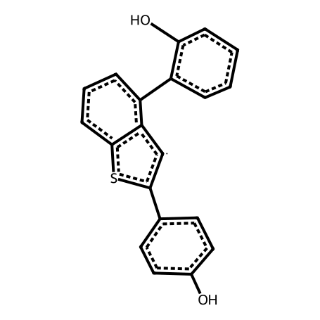 Oc1ccc(-c2[c]c3c(-c4ccccc4O)cccc3s2)cc1